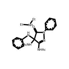 CC(=O)NC1=NN(c2ccccc2)C(=O)C1(NC(C)=O)Nc1ccccc1.CCNCC